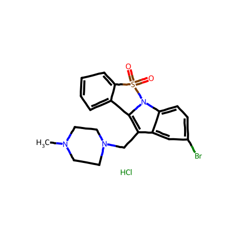 CN1CCN(Cc2c3n(c4ccc(Br)cc24)S(=O)(=O)c2ccccc2-3)CC1.Cl